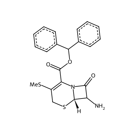 CSC1=C(C(=O)OC(c2ccccc2)c2ccccc2)N2C(=O)C(N)[C@@H]2SC1